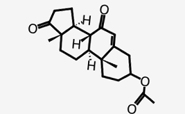 CC(=O)OC1CC[C@@]2(C)C(=CC(=O)[C@@H]3[C@@H]2CC[C@]2(C)C(=O)CC[C@@H]32)C1